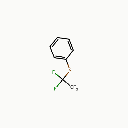 FC(F)(F)C(F)(F)Sc1cc[c]cc1